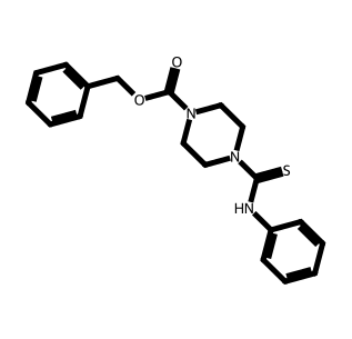 O=C(OCc1ccccc1)N1CCN(C(=S)Nc2ccccc2)CC1